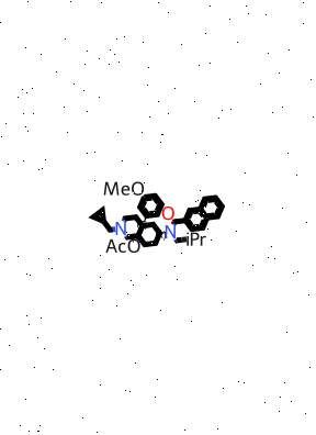 COc1cccc([C@@]23CCN(CC4CC4)C[C@@]2(OC(C)=O)CC[C@@H](N(CC(C)C)C(=O)c2ccc4ccccc4c2)C3)c1